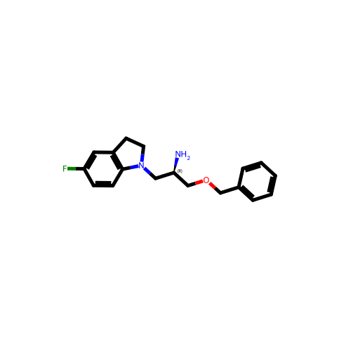 N[C@@H](COCc1ccccc1)CN1CCc2cc(F)ccc21